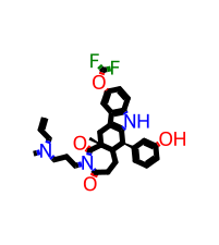 C=CCN(C)CCCN1C(=O)CCC2[C@H](c3cccc(O)c3)c3[nH]c4ccc(OC(F)F)cc4c3C[C@@]2(C)C1=O